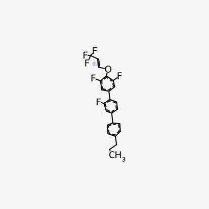 CCCc1ccc(-c2ccc(-c3cc(F)c(O/C=C/C(F)(F)F)c(F)c3)c(F)c2)cc1